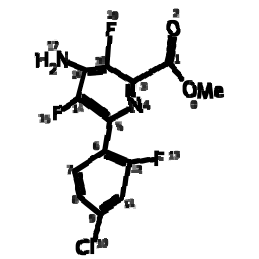 COC(=O)c1nc(-c2ccc(Cl)cc2F)c(F)c(N)c1F